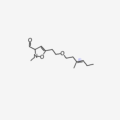 CC/C=C(\C)CCOCCC1=CC(C=O)N(C)O1